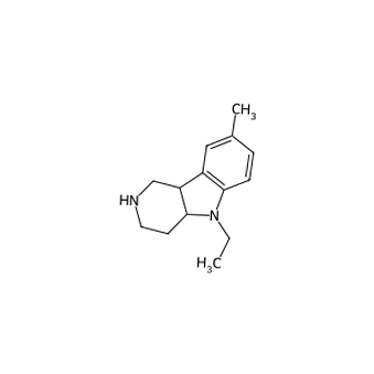 CCN1c2ccc(C)cc2C2CNCCC21